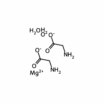 NCC(=O)[O-].NCC(=O)[O-].O.O.[Mg+2]